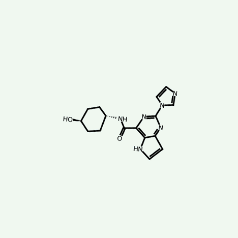 O=C(N[C@H]1CC[C@H](O)CC1)c1nc(-n2ccnc2)nc2cc[nH]c12